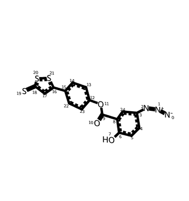 [N-]=[N+]=Nc1ccc(O)c(C(=O)Oc2ccc(-c3cc(=S)ss3)cc2)c1